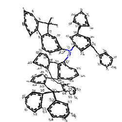 CC1(C)c2ccccc2-c2ccc(N(c3cc(-c4ccccc4)cc(-c4ccccc4)c3)c3cccc4c3-c3ccccc3C43c4ccccc4C(c4ccccc4)(c4ccccc4)c4ccccc43)cc21